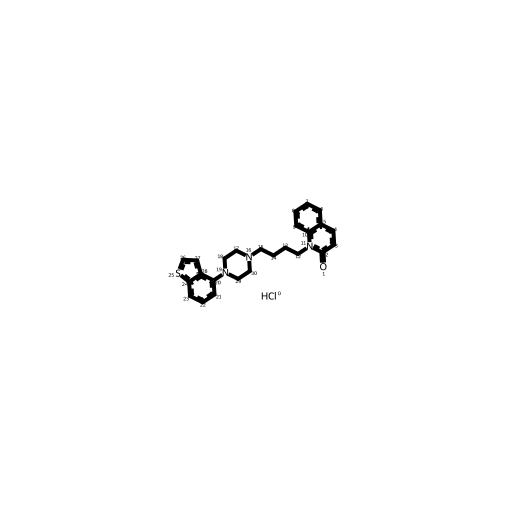 Cl.O=c1ccc2ccccc2n1CCCCN1CCN(c2cccc3sccc23)CC1